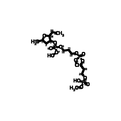 BC1CC(OP(=O)(OO)OCCCOP(=O)(OC)OCCCOP(=O)(O)OC)C(CC)O1